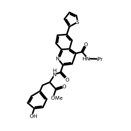 COC(=O)C(Cc1ccc(O)cc1)NC(=O)c1cc(C(=O)NC(C)C)c2cc(-c3cccs3)ccc2n1